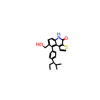 CCC(c1ccc(-c2c(CO)ccc3[nH]c(=O)c4sccc4c23)cc1)C(C)C